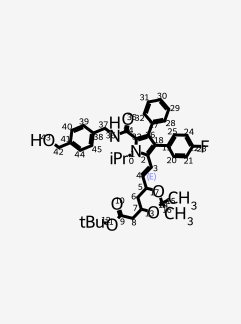 CC(C)n1c(/C=C/C2CC(CC(=O)OC(C)(C)C)OC(C)(C)O2)c(-c2ccc(F)cc2)c(-c2ccccc2)c1C(=O)NCc1ccc(CO)cc1